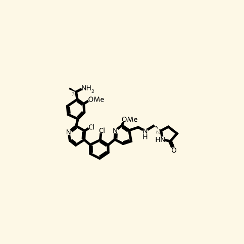 COc1cc(-c2nccc(-c3cccc(-c4ccc(CNC[C@@H]5CCC(=O)N5)c(OC)n4)c3Cl)c2Cl)ccc1[C@@H](C)N